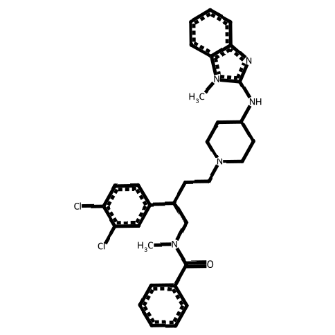 CN(CC(CCN1CCC(Nc2nc3ccccc3n2C)CC1)c1ccc(Cl)c(Cl)c1)C(=O)c1ccccc1